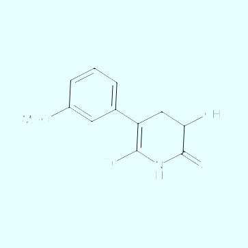 CCC1=C(c2cccc(OC)c2)CC(C)C(=O)N1